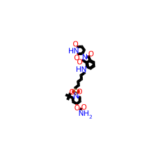 CC(C)(C)C1CC(OC(N)=O)CCN1S(=O)(=O)CCCCCCNc1cccc2c1C(=O)N(C1CCC(=O)NC1=O)C2=O